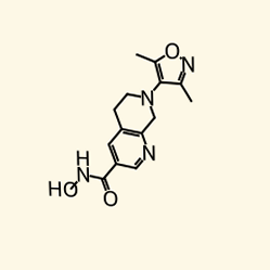 Cc1noc(C)c1N1CCc2cc(C(=O)NO)cnc2C1